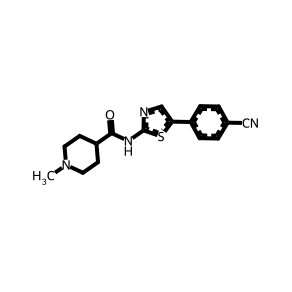 CN1CCC(C(=O)Nc2ncc(-c3ccc(C#N)cc3)s2)CC1